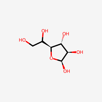 OCC(O)[C@@H]1O[C@H](O)[C@H](O)[C@H]1O